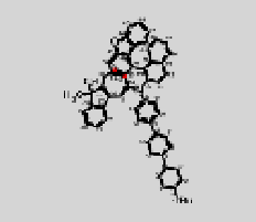 CC(C)(C)c1ccc(-c2ccc(-c3ccc(N(C4=CC5=C(CC#C4)C(C)(C)c4ccccc45)c4ccc5ccccc5c4C4=c5c(oc6ccccc56)=CCC4)cc3)cc2)cc1